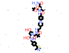 Cc1ncsc1-c1ccc(CNC(O)[C@@H]2C[C@@H](O)CN2C(=O)[C@@H](NC(=O)CCC2CCN(c3ccc(CO[C@H](C)[C@H](CCC(N)=O)NC(=O)OC(C)(C)C)cc3)CC2)C(C)(C)C)cc1